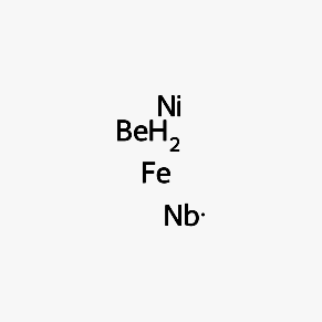 [BeH2].[Fe].[Nb].[Ni]